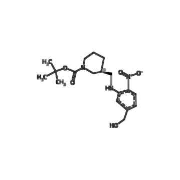 CC(C)(C)OC(=O)N1CCC[C@@H](CNc2cc(CO)ccc2[N+](=O)[O-])C1